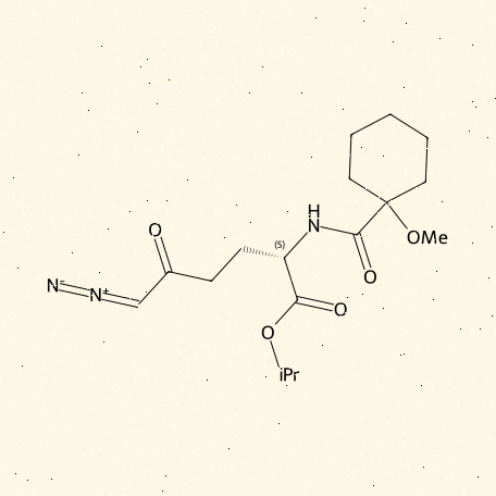 COC1(C(=O)N[C@@H](CCC(=O)C=[N+]=[N-])C(=O)OC(C)C)CCCCC1